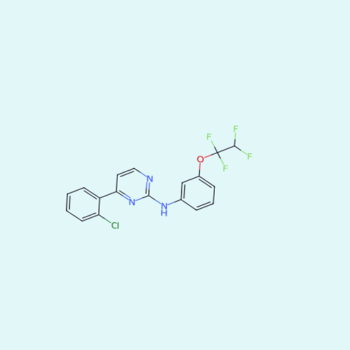 FC(F)C(F)(F)Oc1cccc(Nc2nccc(-c3ccccc3Cl)n2)c1